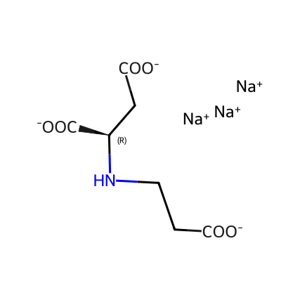 O=C([O-])CCN[C@H](CC(=O)[O-])C(=O)[O-].[Na+].[Na+].[Na+]